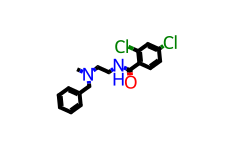 CN(CCNC(=O)c1ccc(Cl)cc1Cl)Cc1ccccc1